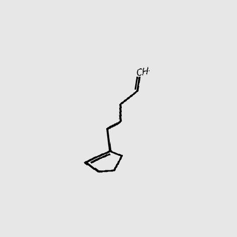 [CH]=CCCCC1=CCCC1